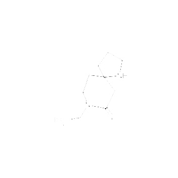 O=C(O)CN1CCC2(CCCN2)CC1=O